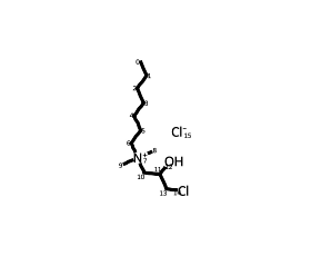 CCCCCCC[N+](C)(C)CC(O)CCl.[Cl-]